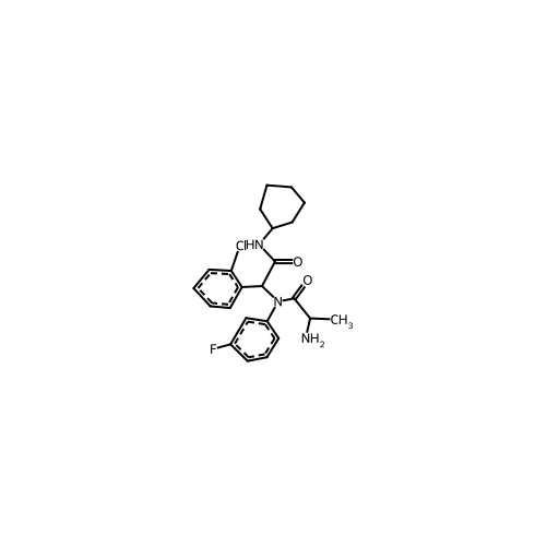 CC(N)C(=O)N(c1cccc(F)c1)C(C(=O)NC1CCCCC1)c1ccccc1Cl